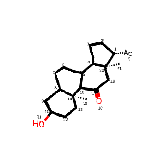 CC(=O)[C@H]1CCC2C3CCC4CC(O)CC[C@]4(C)C3C(=O)C[C@@]21C